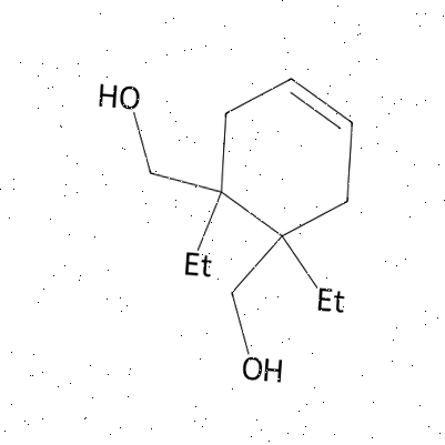 CCC1(CO)CC=CCC1(CC)CO